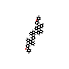 c1cc(-c2cccc3ccc(-c4ccc5cccc(-c6c7ccccc7c(-c7ccc8oc9ccccc9c8c7)c7ccccc67)c5c4)cc23)cc(-c2c3ccccc3c(-c3ccc4oc5ccccc5c4c3)c3ccccc23)c1